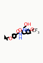 CC1(COc2ccc(C(=O)N/C(=C/c3ccc(OC(F)(F)F)cc3)C(=O)NCCO)cc2)CC1